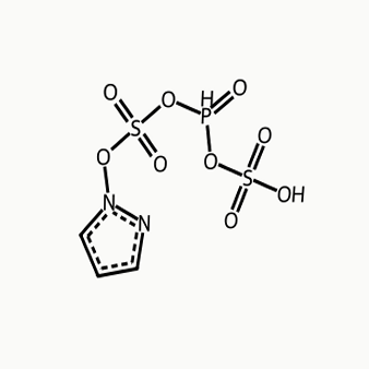 O=[PH](OS(=O)(=O)O)OS(=O)(=O)On1cccn1